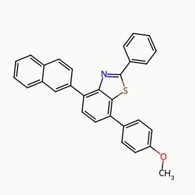 COc1ccc(-c2ccc(-c3ccc4ccccc4c3)c3nc(-c4ccccc4)sc23)cc1